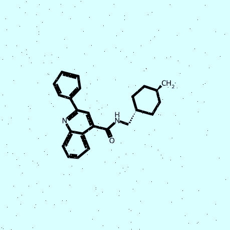 [CH2][C@H]1CC[C@H](CNC(=O)c2cc(-c3ccccc3)nc3ccccc23)CC1